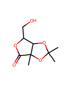 CC1(C)OC2C(CO)OC(=O)C2(C)O1